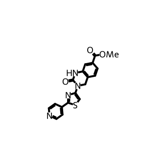 COC(=O)c1ccc2c(c1)NC(=O)N(c1csc(-c3ccncc3)n1)C2